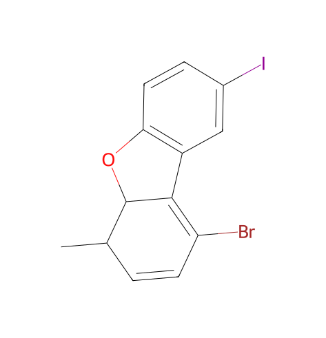 CC1C=CC(Br)=C2c3cc(I)ccc3OC21